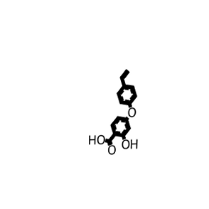 C=Cc1ccc(Oc2ccc(C(=O)O)c(O)c2)cc1